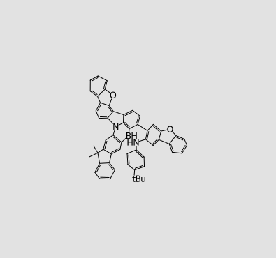 CC(C)(C)c1ccc(Nc2cc3c(cc2-c2ccc4c5c6oc7ccccc7c6ccc5n5c4c2Bc2cc4c(cc2-5)C(C)(C)c2ccccc2-4)oc2ccccc23)cc1